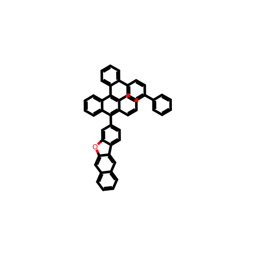 c1ccc(-c2ccc(-c3ccccc3-c3c4ccccc4c(-c4ccc5c(c4)oc4cc6ccccc6cc45)c4ccccc34)cc2)cc1